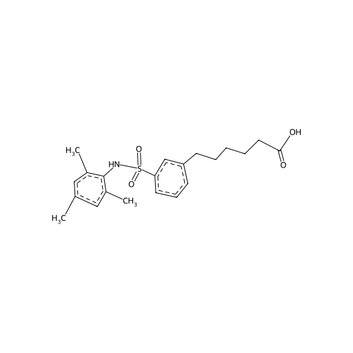 Cc1cc(C)c(NS(=O)(=O)c2cccc(CCCCCC(=O)O)c2)c(C)c1